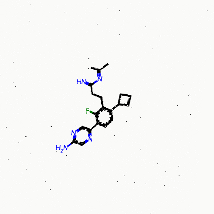 CC(C)=NC(=N)CCc1c(C2CCC2)ccc(-c2cnc(N)cn2)c1F